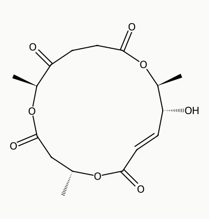 C[C@@H]1CC(=O)O[C@@H](C)C(=O)CCC(=O)O[C@@H](C)[C@H](O)/C=C/C(=O)O1